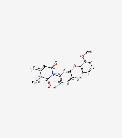 CC(=O)OOc1ccccc1Oc1cc(-n2c(=O)cc(C(F)(F)F)n(C)c2=O)c(F)cc1C#N